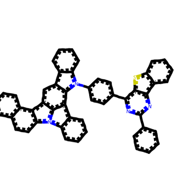 c1ccc(-c2nc(-c3ccc(-n4c5ccccc5c5cc6c7c8ccccc8ccc7n7c8ccccc8c(c54)c67)cc3)c3sc4ccccc4c3n2)cc1